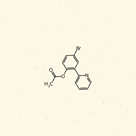 CC(=O)Oc1ccc(Br)cc1-c1ccccn1